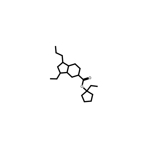 CCCC1CC(CC)C2CC(C(=O)OC3(CC)CCCC3)CCC12